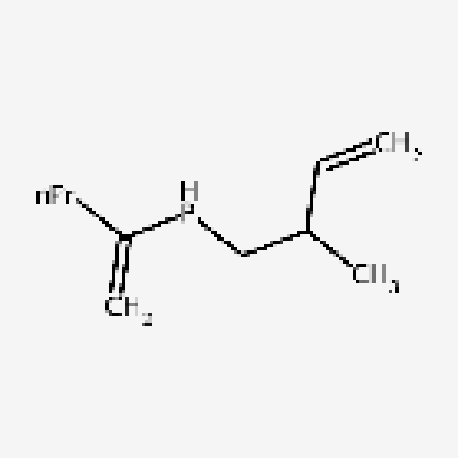 C=CC(C)CPC(=C)CCC